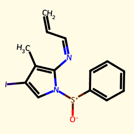 C=C/C=N\c1c(C)c(I)cn1[S+]([O-])c1ccccc1